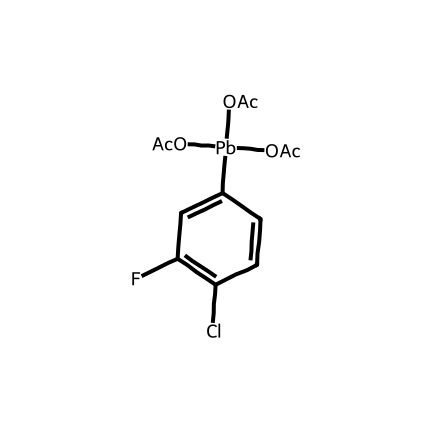 CC(=O)[O][Pb]([O]C(C)=O)([O]C(C)=O)[c]1ccc(Cl)c(F)c1